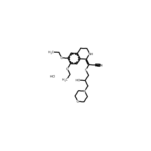 CCOc1cc2c(cc1OCC)C(=C(C#N)SCC(O)CN1CCOCC1)NCC2.Cl